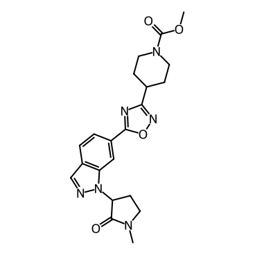 COC(=O)N1CCC(c2noc(-c3ccc4cnn(C5CCN(C)C5=O)c4c3)n2)CC1